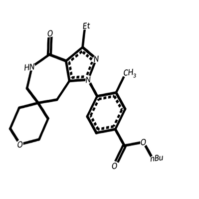 CCCCOC(=O)c1ccc(-n2nc(CC)c3c2CC2(CCOCC2)CNC3=O)c(C)c1